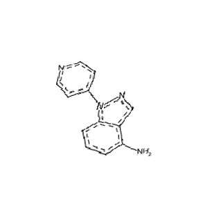 Nc1cccc2c1cnn2-c1ccncc1